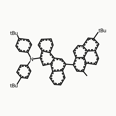 Cc1cc(-c2cc3c4ccccc4c(N(c4ccc(C(C)(C)C)cc4)c4ccc(C(C)(C)C)cc4)cc3c3ccccc23)c2ccc3cc(C(C)(C)C)cc4ccc1c2c43